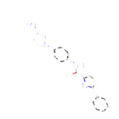 CN(C)C1CCN(c2ccc(NC(=O)c3csc(-c4ccccc4)n3)cc2)C1